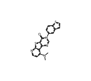 CN(C)c1ccnc2sc3c(=O)n(-c4ccc5sccc5c4)cnc3c12